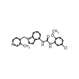 COc1ccc(Cl)cc1NC(=O)Nc1cccc2c1ccn2Cc1ccncc1C